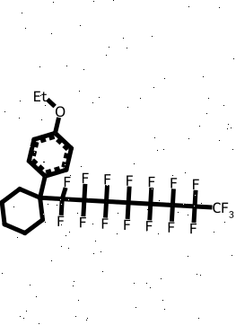 CCOc1ccc(C2(C(F)(F)C(F)(F)C(F)(F)C(F)(F)C(F)(F)C(F)(F)C(F)(F)C(F)(F)F)CCCCC2)cc1